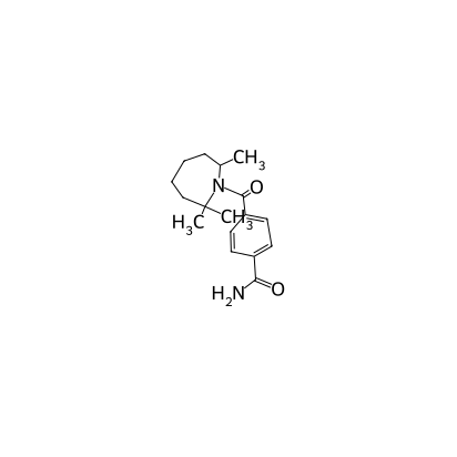 CC1CCCCC(C)(C)N1C(=O)c1ccc(C(N)=O)cc1